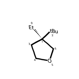 CC[C@@]1(C(C)(C)C)CCOC1